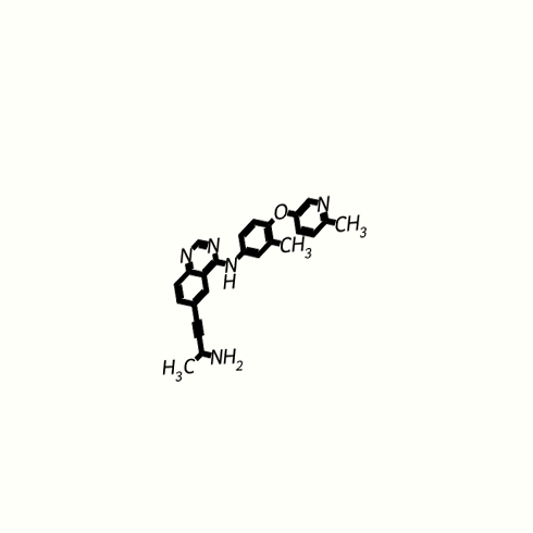 Cc1ccc(Oc2ccc(Nc3ncnc4ccc(C#CC(C)N)cc34)cc2C)cn1